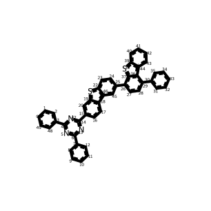 c1ccc(-c2nc(-c3ccccc3)nc(-c3ccc4c(c3)sc3ccc(-c5ccc(-c6ccccc6)c6c5sc5ccccc56)cc34)n2)cc1